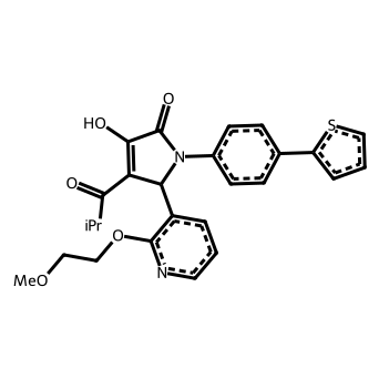 COCCOc1ncccc1C1C(C(=O)C(C)C)=C(O)C(=O)N1c1ccc(-c2cccs2)cc1